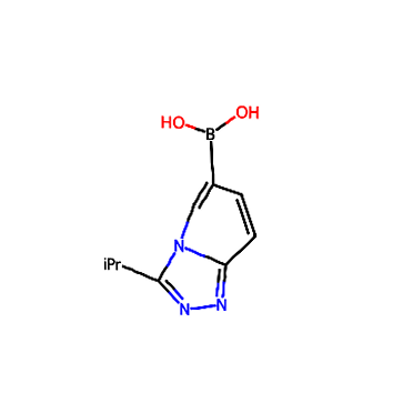 CC(C)c1nnc2ccc(B(O)O)cn12